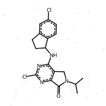 CC(C)N1Cc2c(NC3CCc4cc(Cl)ccc43)nc(Cl)nc2C1=O